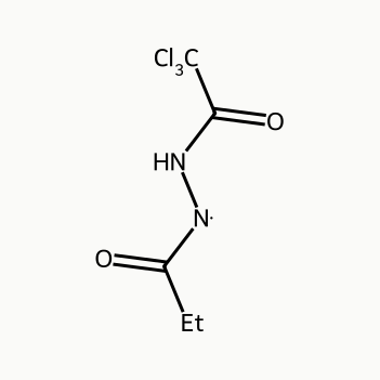 CCC(=O)[N]NC(=O)C(Cl)(Cl)Cl